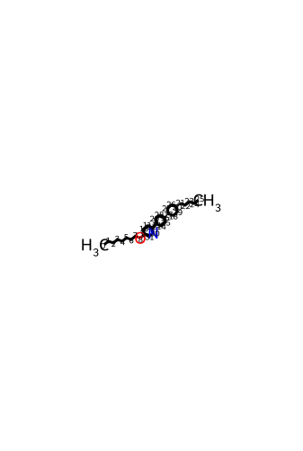 CCCCCCCCOc1ccc(-c2ccc([C@H]3CC[C@H](CCCCC)CC3)cc2)nc1